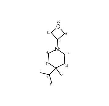 CC(C)C1(C)CCN(C2COC2)CC1